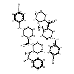 C[C@@H](N[C@@H]1COCC[C@H]1C(=O)N1CCC[C@@H](Cc2ccc(F)cc2)C1)c1ccccc1.N[C@@H]1COCC[C@H]1C(=O)N1CCC[C@@H](Cc2ccc(F)cc2)C1